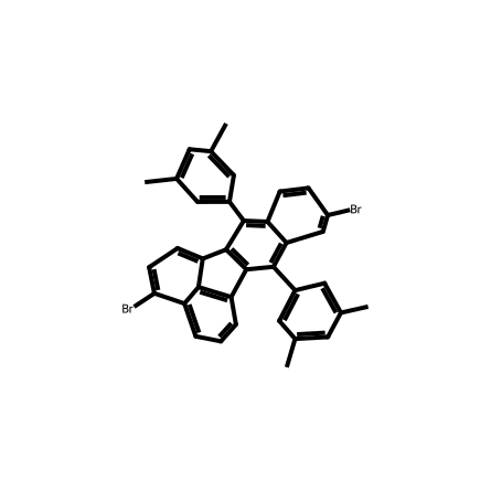 Cc1cc(C)cc(-c2c3c(c(-c4cc(C)cc(C)c4)c4cc(Br)ccc24)-c2cccc4c(Br)ccc-3c24)c1